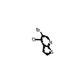 Clc1c(Br)cnc2sccc12